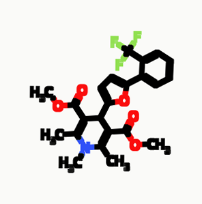 COC(=O)C1=C(C)N(C)C(C)=C(C(=O)OC)C1c1ccc(-c2ccccc2C(F)(F)F)o1